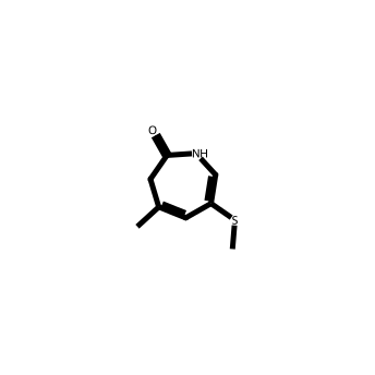 CSC1=CNC(=O)CC(C)=C1